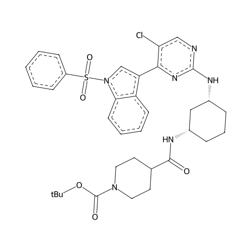 CC(C)(C)OC(=O)N1CCC(C(=O)N[C@H]2CCC[C@@H](Nc3ncc(Cl)c(-c4cn(S(=O)(=O)c5ccccc5)c5ccccc45)n3)C2)CC1